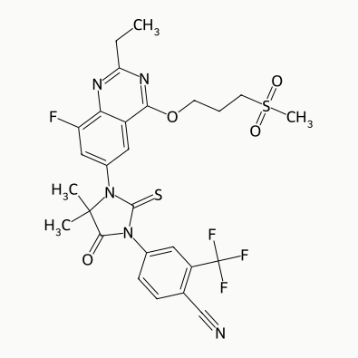 CCc1nc(OCCCS(C)(=O)=O)c2cc(N3C(=S)N(c4ccc(C#N)c(C(F)(F)F)c4)C(=O)C3(C)C)cc(F)c2n1